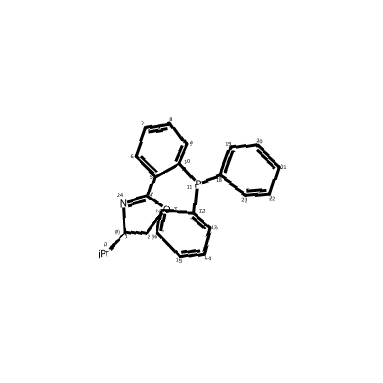 CC(C)[C@@H]1COC(c2ccccc2P(c2ccccc2)c2ccccc2)=N1